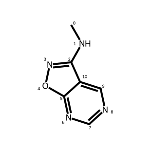 CNc1noc2ncncc12